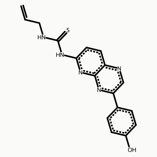 C=CCNC(=S)Nc1ccc2ncc(-c3ccc(O)cc3)nc2n1